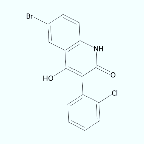 O=c1[nH]c2ccc(Br)cc2c(O)c1-c1ccccc1Cl